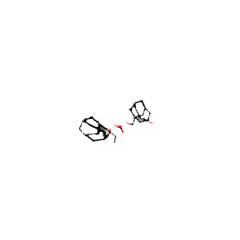 CCC1(OC(=O)OCC23CC4CC(CC(O)(C4)C2)C3)C2CC3CC(C2)CC1C3